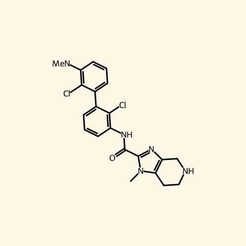 CNc1cccc(-c2cccc(NC(=O)c3nc4c(n3C)CCNC4)c2Cl)c1Cl